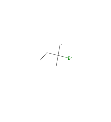 [CH2]C(C)(Br)CC